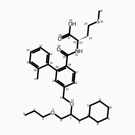 CCCOCC(CC1CCCCC1)OCc1ccc(C(=O)N[C@@H](CCSC)C(=O)O)c(-c2ccccc2C)c1